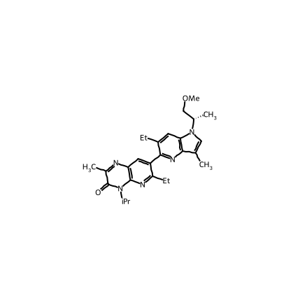 CCc1cc2c(nc1-c1cc3nc(C)c(=O)n(C(C)C)c3nc1CC)c(C)cn2[C@@H](C)COC